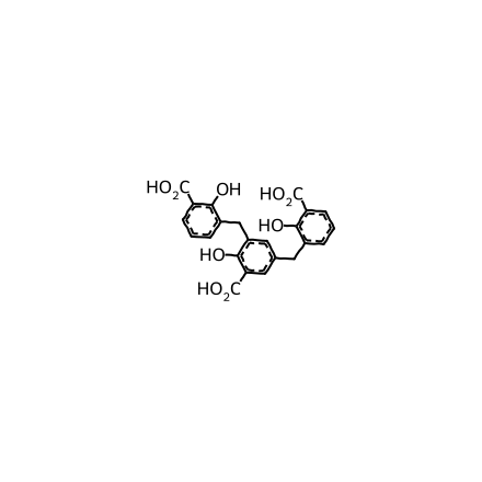 O=C(O)c1cccc(Cc2cc(Cc3cccc(C(=O)O)c3O)c(O)c(C(=O)O)c2)c1O